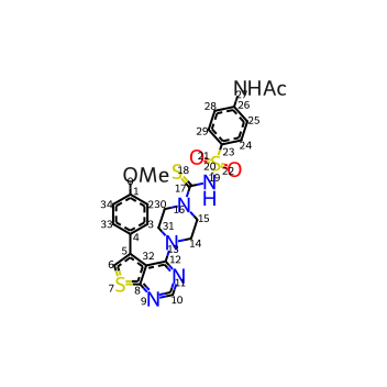 COc1ccc(-c2csc3ncnc(N4CCN(C(=S)NS(=O)(=O)c5ccc(NC(C)=O)cc5)CC4)c23)cc1